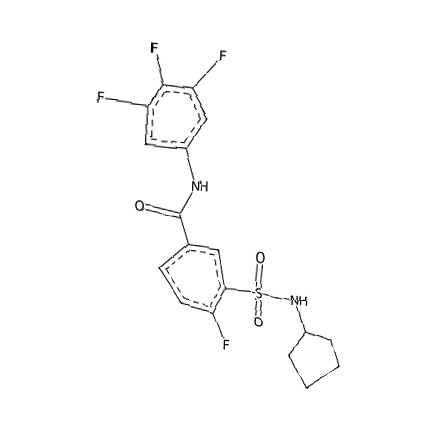 O=C(Nc1cc(F)c(F)c(F)c1)c1ccc(F)c(S(=O)(=O)NC2CCCC2)c1